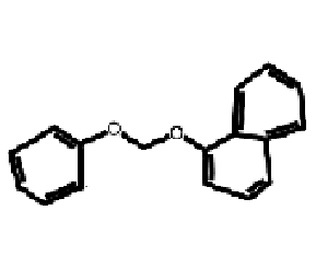 [c]1ccccc1OCOc1cccc2ccccc12